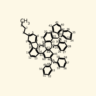 CCCCc1ccc2c(c1)c1cccc3c1n2B1c2cccc4c2N(c2ccccc2S4(c2ccccc2)c2ccccc2)c2cc(N(c4ccccc4)c4ccccc4)cc-3c21